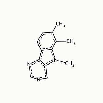 Cc1ccc2c3ncncc3n(C)c2c1C